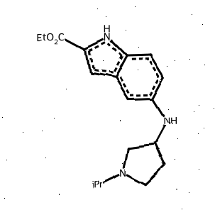 CCOC(=O)c1cc2cc(NC3CCN(C(C)C)C3)ccc2[nH]1